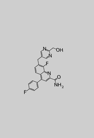 NC(=O)c1cc(-c2ccc(F)cc2)c2ccc(Cc3cnc(CO)nc3)c(F)c2n1